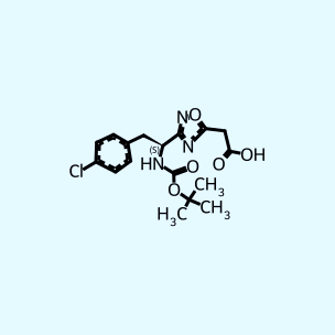 CC(C)(C)OC(=O)N[C@@H](Cc1ccc(Cl)cc1)c1noc(CC(=O)O)n1